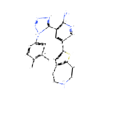 Cc1ccc(-n2nnnc2-c2cc(-c3cc4c(s3)CCNCC4)cnc2N)cc1C